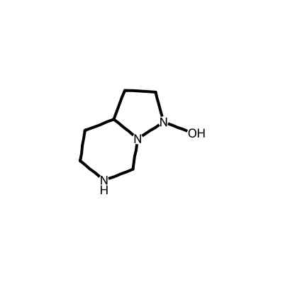 ON1CCC2CCNCN21